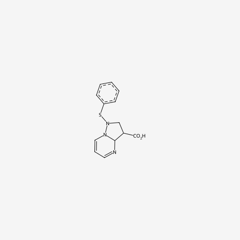 O=C(O)C1CN(Sc2ccccc2)N2C=CC=NC12